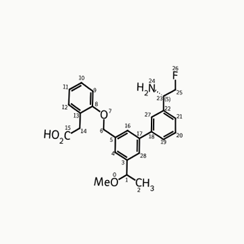 COC(C)c1cc(COc2ccccc2CC(=O)O)cc(-c2cccc([C@H](N)CF)c2)c1